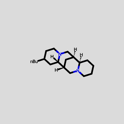 CCCCC1CCN2C[C@@H]3C[C@H](CN4CCCC[C@H]34)[C@@H]2C1